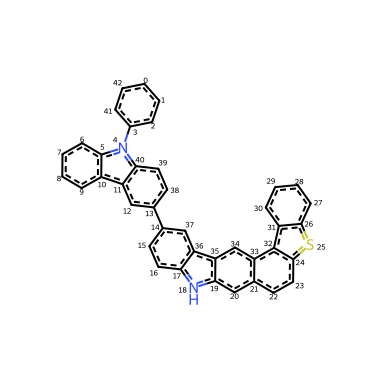 c1ccc(-n2c3ccccc3c3cc(-c4ccc5[nH]c6cc7ccc8sc9ccccc9c8c7cc6c5c4)ccc32)cc1